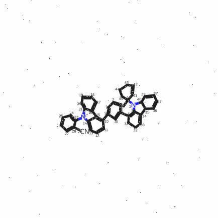 CC1(N2C3=C(c4cccc(-c5cccc6c5c5ccccc5n6-c5ccccc5C#N)c4)CCC=C3C3C=CC=CC32)C=CCCC1